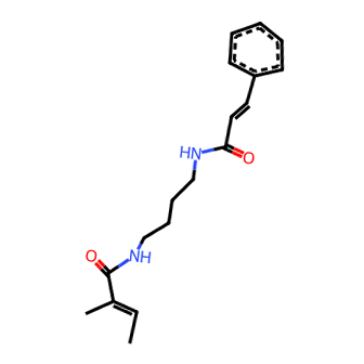 CC=C(C)C(=O)NCCCCNC(=O)C=Cc1ccccc1